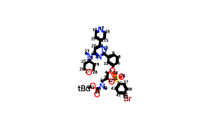 CN(CC(COc1cccc(-c2nc(-c3ccncc3)cc(N(C)C3CCOCC3)n2)c1)OS(=O)(=O)c1ccc(Br)cc1)C(=O)OC(C)(C)C